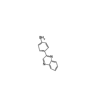 Bc1ccc(-c2cnc3ccccc3n2)cc1